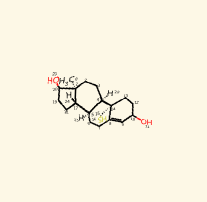 C[C@]12CC[C@@H]3[C@@H](CCC4=CC(O)CC[C@@]43CS)[C@@H]1CCC2O